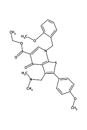 CCOC(=O)c1cn(Cc2ccccc2OC)c2sc(-c3ccc(OC)cc3)c(CN(C)C)c2c1=O